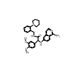 CCOc1cc(C(Nc2ccc3c(N)nccc3c2)C(=O)NCc2ccccc2N2CCCCC2)ccc1OC(C)C